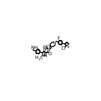 Cn1nc2c(=O)n(CC3(O)CCN(Cc4ccc(-c5ccsc5Cl)cc4F)CC3)cnc2c1-c1ccc(CN)cc1